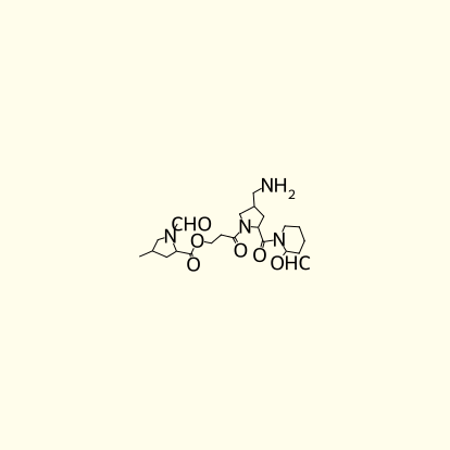 CC1CC(C(=O)OCCC(=O)N2CC(CN)CC2C(=O)N2CCCCC2C=O)N(C=O)C1